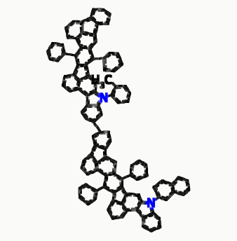 Cc1ccccc1-n1c2cc(-c3ccc4c(c3)c3cccc5c6c(-c7ccccc7)c7c8cccc9c8c(cc8c9c9ccccc9n8-c8ccc9ccccc9c8)c7c(-c7ccccc7)c6cc4c35)ccc2c2c3cccc4c5c(-c6ccccc6)c6c(cc7c8ccccc8c8cccc6c87)c(-c6ccccc6)c5c(cc21)c43